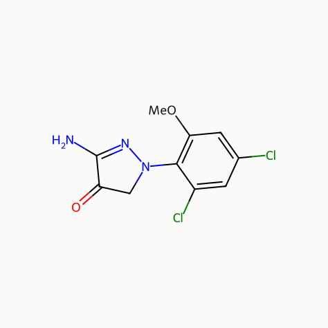 COc1cc(Cl)cc(Cl)c1N1CC(=O)C(N)=N1